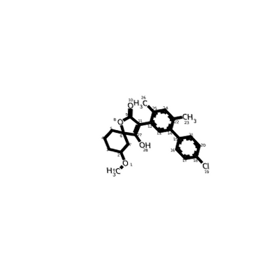 COC1CCCC2(C1)OC(=O)C(c1cc(-c3ccc(Cl)cc3)c(C)cc1C)=C2O